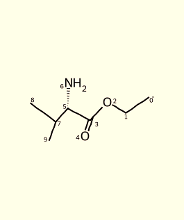 [CH2]COC(=O)[C@@H](N)C(C)C